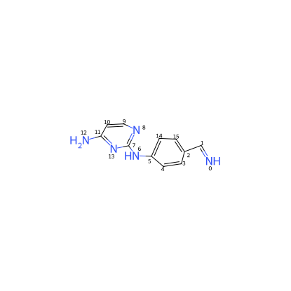 N=Cc1ccc(Nc2nccc(N)n2)cc1